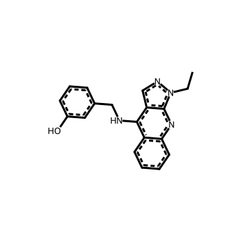 CCn1ncc2c(NCc3cccc(O)c3)c3ccccc3nc21